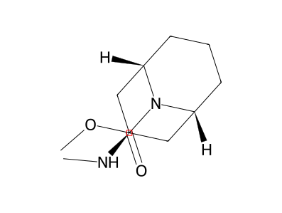 CN[C@@H]1C[C@H]2CCC[C@@H](C1)N2C(=O)OC